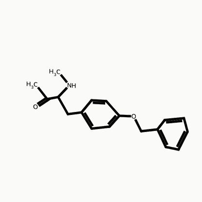 CNC(Cc1ccc(OCc2ccccc2)cc1)C(C)=O